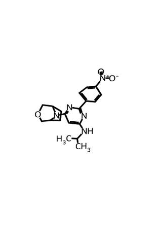 CC(C)Nc1cc(N2C3CCC2COC3)nc(-c2ccc([N+](=O)[O-])cc2)n1